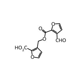 O=Cc1ccoc1C(=O)OCc1ccoc1C(=O)O